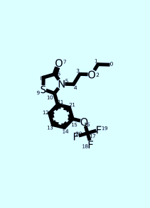 CCOCCN1C(=O)CSC1c1cccc(OC(F)(F)F)c1